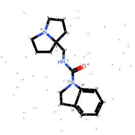 O=C(NCC12CCCN1CCC2)N1CCc2ccccc21